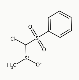 C[S+]([O-])C(Cl)S(=O)(=O)c1ccccc1